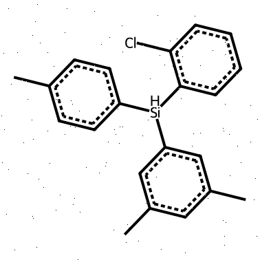 Cc1ccc([SiH](c2cc(C)cc(C)c2)c2ccccc2Cl)cc1